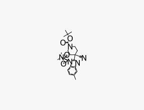 Cc1ccc2c(c1)nc(C1(C#N)CCN(C(=O)OC(C)(C)C)CC1)n2S(=O)(=O)N(C)C